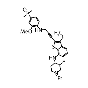 COc1cc(P(C)(C)=O)ccc1NCC#Cc1sc2c(N[C@@H]3CCN(C(C)C)CC3F)cccc2c1CC(F)(F)F